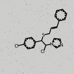 Clc1ccc(C(SCC=Cc2ccccc2)C(Cl)n2ccnc2)cc1